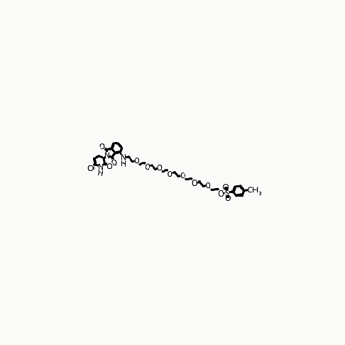 Cc1ccc(S(=O)(=O)OCCOCCOCCOCCOCCOCCOCCOCCNc2cccc3c2C(=O)N(C2CCC(=O)NC2=O)C3=O)cc1